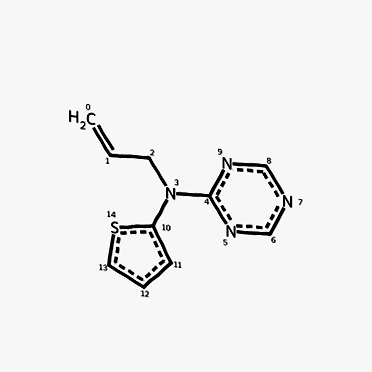 C=CCN(c1ncncn1)c1cccs1